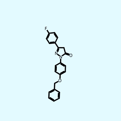 O=C1CC(c2ccc(F)cc2)=NN1c1ccc(OCc2ccccc2)cc1